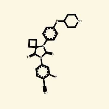 N#Cc1ccc(N2C(=O)C3(CCC3)N(c3ccc(OC4CCNCC4)cc3)C2=S)cc1Cl